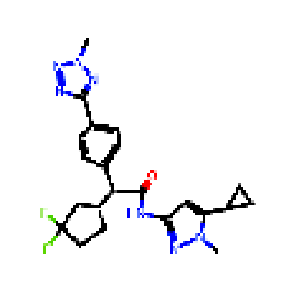 Cn1nnc(-c2ccc([C@@H](C(=O)Nc3cc(C4CC4)n(C)n3)[C@H]3CCC(F)(F)C3)cc2)n1